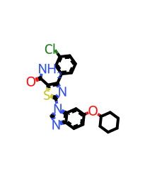 NC(=O)c1sc(-n2cnc3ccc(OC4CCCCC4)cc32)nc1-c1cccc(Cl)c1